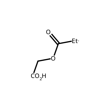 C[CH]C(=O)OCC(=O)O